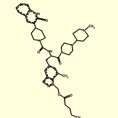 CCCCC(=O)OCn1ncc2cc(C[C@@H](NC(=O)N3CCC(c4cc5ccccc5[nH]c4=O)CC3)C(=O)N3CCN(C4CCN(C)CC4)CC3)cc(C)c21